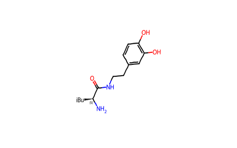 CCC(C)[C@H](N)C(=O)NCCc1ccc(O)c(O)c1